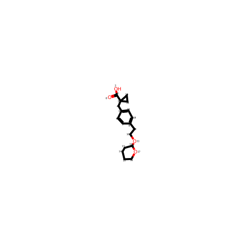 O=C(O)C1(Cc2ccc(CCOC3CCCCO3)cc2)CC1